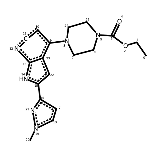 CCOC(=O)N1CCN(c2ccnc3[nH]c(-c4ccn(C)n4)cc23)CC1